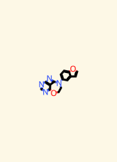 c1nc2c3c(n1)OCCN(c1ccc4occc4c1)C3=N2